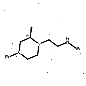 CC(C)NCCN1CCN(C(C)C)C[C@H]1C